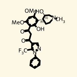 COc1cc(OC)c([C@H]2CCN(C)C[C@H]2O)c(O)c1C(=O)CC(=O)c1cnn(-c2ccccc2)c1C(F)(F)F